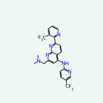 CN(C)Cc1cc(Nc2ccc(C(F)(F)F)cn2)c2ccc(-c3ncccc3C(F)(F)F)nc2n1